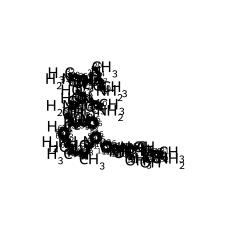 CC(C)(N)CC(O)CN(CCO)CC(O)CC(C)(C)N.CN(CCN(C)CC(O)CC(C)(C)N)CC(O)CC(C)(C)N.CN(CCN(C)CC(O)CC1(N)CCCCC1)CC(O)CC1(N)CCCCC1.CN(CCO)CC(O)CC(C)(C)N.CN(CCO)CC(O)CC1(N)CCCCC1.NC1(CC(O)CN(CCO)CCO)CCCCC1